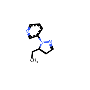 CCC1CC=NN1c1cccnc1